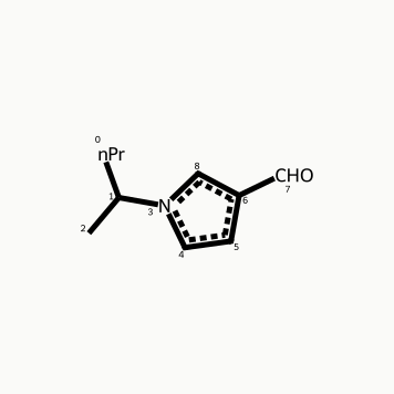 CCCC(C)n1ccc(C=O)c1